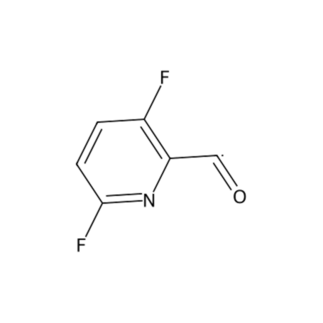 O=[C]c1nc(F)ccc1F